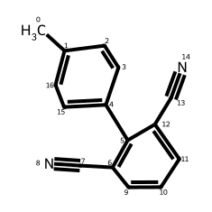 Cc1ccc(-c2c(C#N)cccc2C#N)cc1